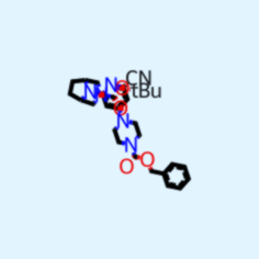 CC(C)(C)OC(=O)N1CC2CCC(C1)N2c1cc(N2CCN(C(=O)OCc3ccccc3)CC2)cc(C#N)n1